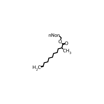 C=CCCCCCCCC(C)C(=O)OCCCCCCCCCC